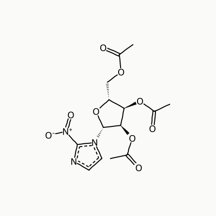 CC(=O)OC[C@H]1O[C@@H](n2ccnc2[N+](=O)[O-])[C@H](OC(C)=O)[C@@H]1OC(C)=O